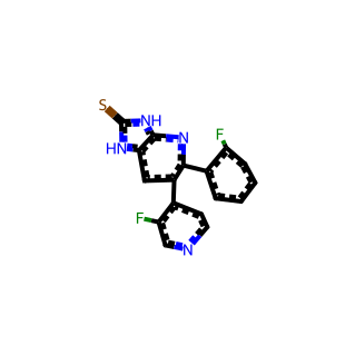 Fc1cnccc1-c1cc2[nH]c(=S)[nH]c2nc1-c1ccccc1F